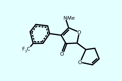 CNC1=C(c2cccc(C(F)(F)F)c2)C(=O)C(C2CC=CO2)O1